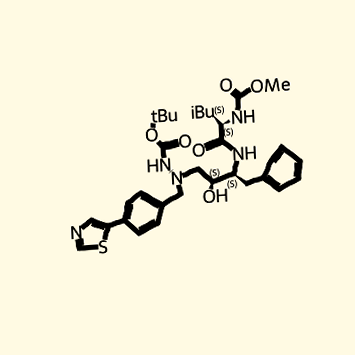 CC[C@H](C)[C@H](NC(=O)OC)C(=O)N[C@@H](Cc1ccccc1)[C@@H](O)CN(Cc1ccc(-c2cncs2)cc1)NC(=O)OC(C)(C)C